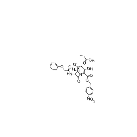 CCC(=O)O.O=C(COc1ccccc1)NC1C(=O)N2C(C(=O)OCc3ccc([N+](=O)[O-])cc3)=C(O)C[S+]([O-])[C@@H]12